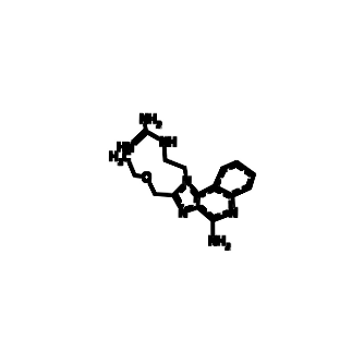 CCOCc1nc2c(N)nc3ccccc3c2n1CCNC(=N)N